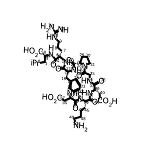 CC(C)C[C@H](NC(=O)[C@H](CCCNC(=N)N)NC(=O)[C@H](Cc1ccccc1)NC(=O)[C@@H]1CCCN1C(=O)CNC(=O)[C@H](CC(=O)O)NC(=O)[C@H](CCCCN)NC(=O)[C@@H](N)CC(=O)O)C(=O)O